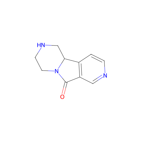 O=C1c2cnccc2C2CNCCN12